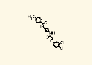 Cc1cnc(C(=O)NC23CC(NC(=O)COc4ccc(Cl)c(Cl)c4)(C2)C3)cn1